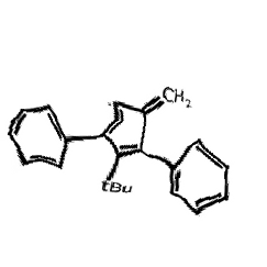 C=C1[C]=C(c2ccccc2)C(C(C)(C)C)=C1c1ccccc1